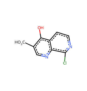 O=C(O)c1cnc2c(Cl)nccc2c1O